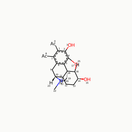 CC(=O)c1c(O)c2c3c(c1C(C)=O)C[C@@H]1[C@@H]4CC[C@H](O)[C@H](O2)[C@]34CCN1C